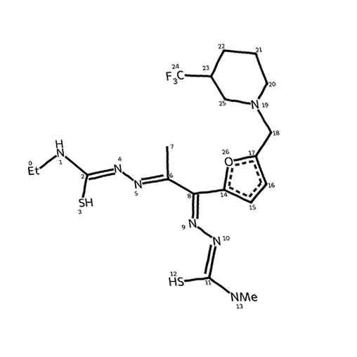 CCN/C(S)=N/N=C(C)/C(=N/N=C(\S)NC)c1ccc(CN2CCCC(C(F)(F)F)C2)o1